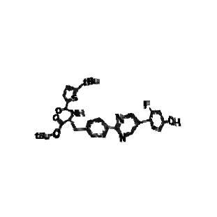 CC(C)(C)OC(=O)C(Cc1ccc(-c2ncc(-c3ccc(O)cc3F)cn2)cc1)NC(=O)c1ccc(C(C)(C)C)s1